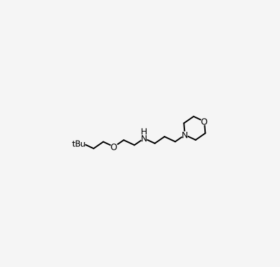 CC(C)(C)CCOCCNCCCN1CCOCC1